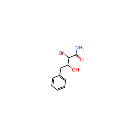 NC(=O)C(Br)C(O)Cc1ccccc1